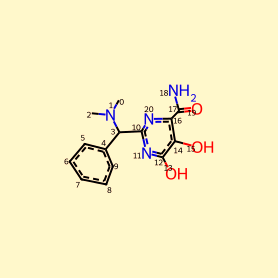 CN(C)C(c1ccccc1)c1nc(O)c(O)c(C(N)=O)n1